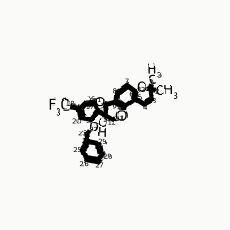 CC1(C)C=Cc2c(ccc3c2OCC(O)(c2ccc(C(F)(F)F)cc2OCc2ccccc2)C3=O)O1